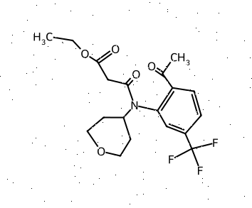 CCOC(=O)CC(=O)N(c1cc(C(F)(F)F)ccc1C(C)=O)C1CCOCC1